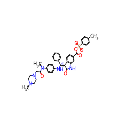 Cc1ccc(S(=O)(=O)OC(=O)c2ccc3c(c2)NC(=O)/C3=C(\Nc2ccc(N(C)C(=O)CN3CCN(C)CC3)cc2)c2ccccc2)cc1